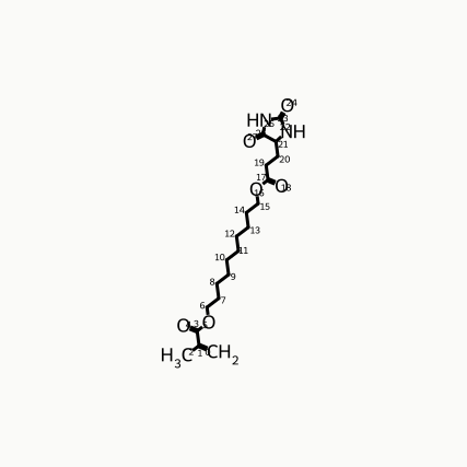 C=C(C)C(=O)OCCCCCCCCCCOC(=O)CCC1NC(=O)NC1=O